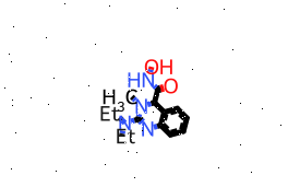 CCN(CC)C1=Nc2ccccc2C(C(=O)NO)N1C